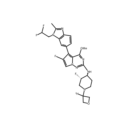 [2H]C1(N2CC[C@H](Nc3nc(OC)c4c(-c5ccc6nc(C)n(CC(F)F)c6c5)c(F)cn4n3)[C@@H](F)C2)COC1